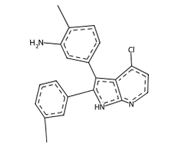 Cc1cccc(-c2[nH]c3nccc(Cl)c3c2-c2ccc(C)c(N)c2)c1